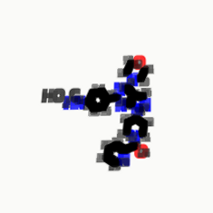 O=C(O)Nc1ccc(-c2nc(N3CCOCC3)c3cnn(C4CCN(C(=O)c5ccccn5)CC4)c3n2)cc1